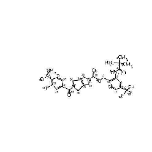 CC(C)(C)C(=O)Nc1cc(C(F)(F)F)cnc1COC(=O)N1CC2=C(C1)CN(C(=O)c1ccc([S+](N)[O-])c(F)c1)C2